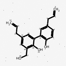 C=CCc1ccc(O)c(-c2cc(CC=C)cc(CO)c2O)c1